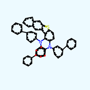 c1ccc(-c2ccc(N(c3cccc(-c4ccccc4)c3)c3ccc4sc5cc6ccccc6cc5c4c3N(c3ccccc3)c3ccc(-c4ccccc4)cc3)cc2)cc1